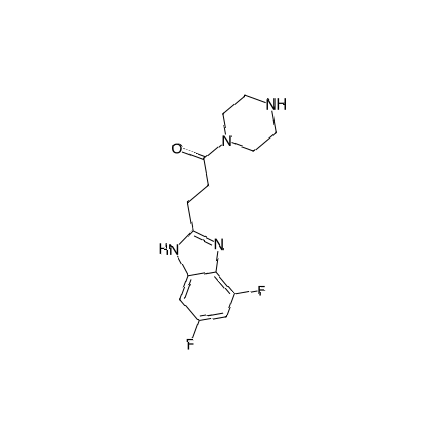 O=C(CCc1nc2c(F)cc(F)cc2[nH]1)N1CCNCC1